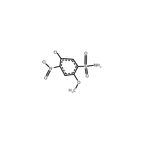 COc1cc([N+](=O)[O-])c(Cl)cc1S(N)(=O)=O